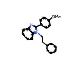 COc1ccc(-c2nc3ccccc3n2CCc2ccccc2)cc1